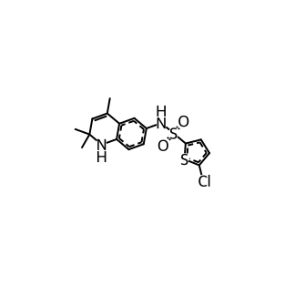 CC1=CC(C)(C)Nc2ccc(NS(=O)(=O)c3ccc(Cl)s3)cc21